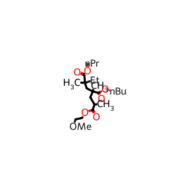 CCCCOC(=O)C(C)(CC(C)C(=O)OCCOC)CC(C)(CC)C(=O)OCCC